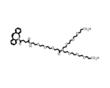 O=C(O)CCOCCOCCOCCN(CCOCCOCCOCCC(=O)O)C(=O)CCOCCOCCOCCNC(=O)CCC(=O)N1Cc2ccccc2C#Cc2ccccc21